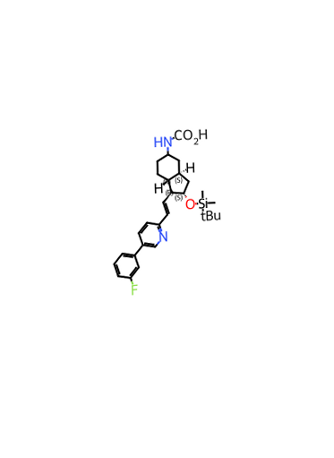 CC(C)(C)[Si](C)(C)O[C@H]1C[C@@H]2CC(NC(=O)O)CC[C@H]2[C@@H]1C=Cc1ccc(-c2cccc(F)c2)cn1